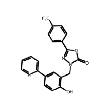 O=c1oc(-c2ccc(C(F)(F)F)cc2)nn1Cc1cc(-c2ccccn2)ccc1O